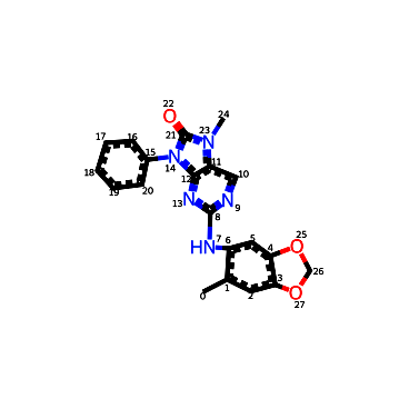 Cc1cc2c(cc1Nc1ncc3c(n1)n(-c1ccccc1)c(=O)n3C)OCO2